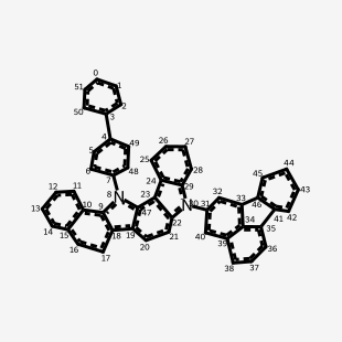 c1ccc(-c2ccc(-n3c4c5ccccc5ccc4c4ccc5c(c6ccccc6n5-c5cc6c7c(cccc7c5)-c5ccccc5-6)c43)cc2)cc1